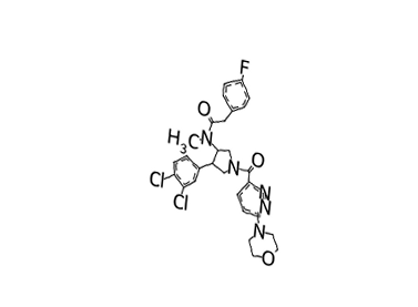 CN(C(=O)Cc1ccc(F)cc1)C1CN(C(=O)c2ccc(N3CCOCC3)nn2)CC1c1ccc(Cl)c(Cl)c1